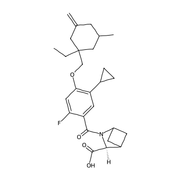 C=C1CC(C)CC(CC)(COc2cc(F)c(C(=O)N3C4CC(C4)[C@H]3C(=O)O)cc2C2CC2)C1